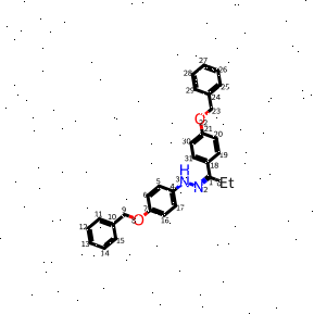 CCC(=NNc1ccc(OCc2ccccc2)cc1)c1ccc(OCc2ccccc2)cc1